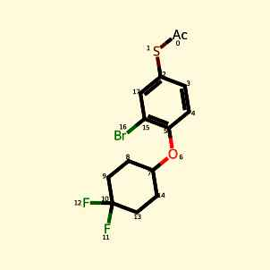 CC(=O)Sc1ccc(OC2CCC(F)(F)CC2)c(Br)c1